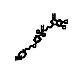 O=S(=O)(NCCCc1c[nH]c2cc(Cl)c(Cl)cc12)c1ccc(OCCCN2CCNCC2)cc1